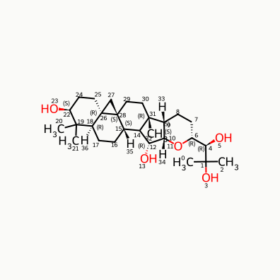 CC(C)(O)[C@H](O)[C@H]1CC[C@@H]2[C@H](O1)[C@H](O)C1[C@@H]3CC[C@H]4C(C)(C)[C@@H](O)CC[C@@]45C[C@@]35CC[C@@]12C